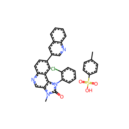 Cc1ccc(S(=O)(=O)O)cc1.Cn1c(=O)n(-c2ccccc2Cl)c2c3cc(-c4cnc5ccccc5c4)ccc3ncc21